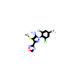 N#CSc1c(-c2ncon2)nn(-c2c(Cl)cc(C(F)(F)F)cc2Cl)c1N